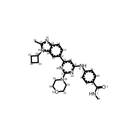 CNC(=O)c1ccc(Nc2cc(-c3ccc4nc(C)n(C5CCC5)c4c3)nc(N3CCOCC3)n2)cc1